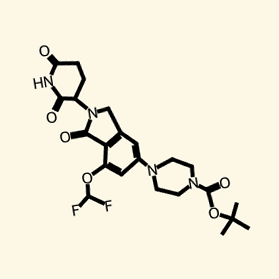 CC(C)(C)OC(=O)N1CCN(c2cc3c(c(OC(F)F)c2)C(=O)N(C2CCC(=O)NC2=O)C3)CC1